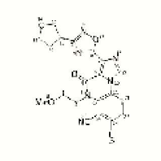 COCCn1c(=O)c2c(-c3nc(C4CCOC4)no3)ncn2c2ccc(Cl)c(C#N)c21